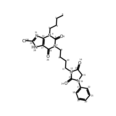 CCCCn1c(=O)n(CCCCN2C(=O)CN(c3ccccc3)C2=O)c(=O)c2[nH]c(Cl)nc21